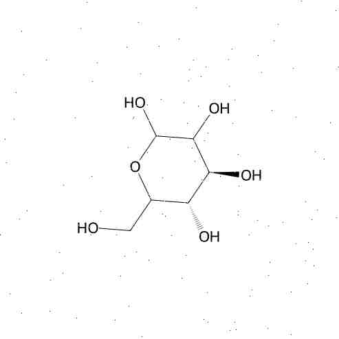 OCC1OC(O)C(O)[C@@H](O)[C@@H]1O